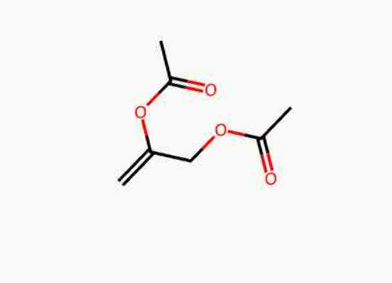 C=C(COC(C)=O)OC(C)=O